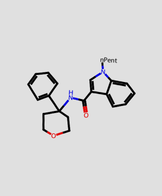 CCCCCn1cc(C(=O)NC2(c3ccccc3)CCOCC2)c2ccccc21